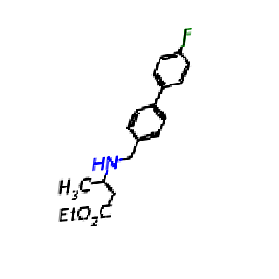 CCOC(=O)CC(C)NCc1ccc(-c2ccc(F)cc2)cc1